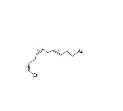 CC/C=C\C/C=C\C/C=C/CCC(C)=O